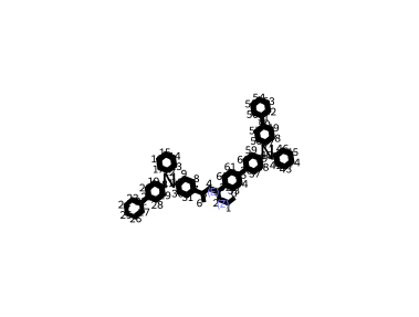 C/C=C\C(=C/C(C)c1ccc(N(c2ccccc2)c2ccc(C3=CCCC=C3)cc2)cc1)c1ccc(-c2ccc(N(c3ccccc3)c3ccc(-c4ccccc4)cc3)cc2)cc1